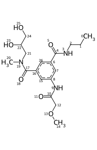 CCCNC(=O)c1cc(NC(=O)COC)cc(C(=O)N(C)CC(O)CO)c1